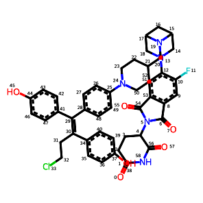 O=C1CCC(N2C(=O)c3cc(F)c(N4CC5CC(C4)N5CC4CCN(c5ccc(C(=C(CCCl)c6ccc(O)cc6)c6ccc(O)cc6)cc5)CC4)cc3C2=O)C(=O)N1